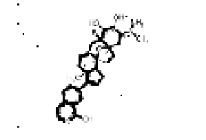 CN(C)[C@H]1C[C@@]23CC[C@@]4(O2)C(=CC[C@]2(C)C(c5ccc6ccnc(O)c6c5)=CCC24)CC3(F)[C@@H](O)[C@@H]1O